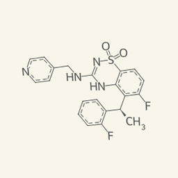 C[C@@H](c1ccccc1F)c1c(F)ccc2c1NC(NCc1ccncc1)=NS2(=O)=O